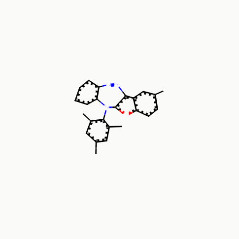 Cc1ccc2oc3c(c2c1)N=Nc1ccccc1N3c1c(C)cc(C(C)(C)C)cc1C